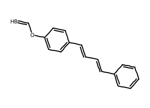 B=COc1ccc(/C=C/C=C/c2ccccc2)cc1